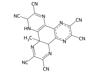 CC12N=C(C#N)C(C#N)=NC1c1nc(C#N)c(C#N)nc1C1=C2NC(C#N)C(C#N)=N1